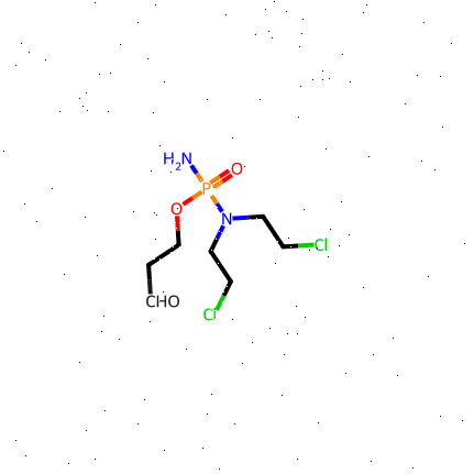 NP(=O)(OCCC=O)N(CCCl)CCCl